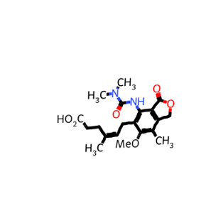 COc1c(C)c2c(c(NC(=O)N(C)C)c1CC=C(C)CCC(=O)O)C(=O)OC2